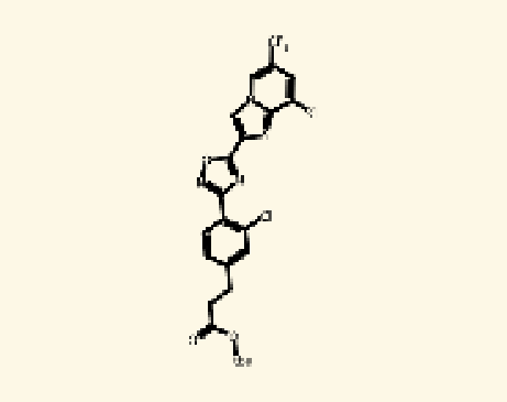 CC(C)(C)OC(=O)CCc1ccc(-c2noc(-c3cn4cc(C(F)(F)F)cc(Cl)c4n3)n2)c(Cl)c1